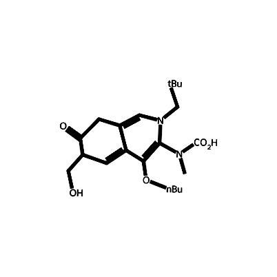 CCCCOC1=C(N(C)C(=O)O)N(CC(C)(C)C)C=C2CC(=O)C(CO)C=C21